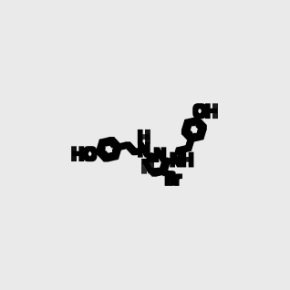 Oc1ccc(CCNc2ncc(Br)c(NCCc3ccc(O)cc3)n2)cc1